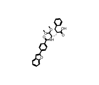 COC(OC)[C@H](C[C@H](Cc1ccccc1)C(=O)O)NC(=O)c1ccc(-c2cc3ccccc3o2)cc1